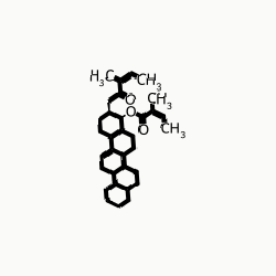 C/C=C(/C)C(=O)C[C@@H]1CCC2C3=CCC4C5CCCCC5CCC4C3CCC2[C@H]1OC(=O)/C(C)=C\C